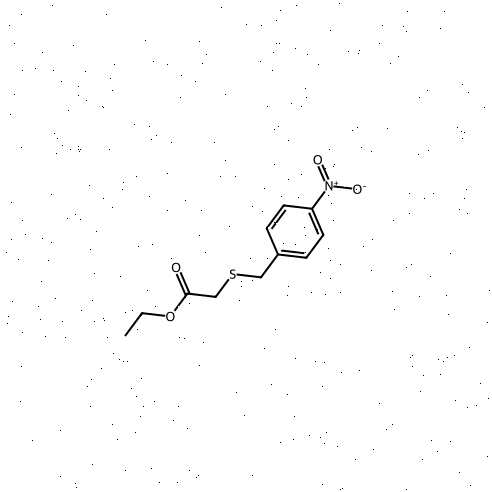 CCOC(=O)CSCc1ccc([N+](=O)[O-])cc1